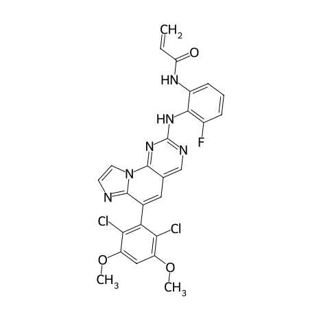 C=CC(=O)Nc1cccc(F)c1Nc1ncc2cc(-c3c(Cl)c(OC)cc(OC)c3Cl)c3nccn3c2n1